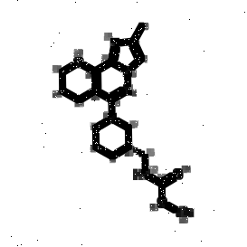 Cc1cn2nc(N3CCC[C@@H](CNC(=O)OC(C)(C)C)C3)c3c(c2n1)OCCC3